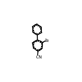 N#Cc1ccc(-c2ccccc2)c(Br)c1